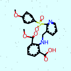 COC(=O)c1cccc(C(=O)O)c1NCc1cccnc1S(=O)(=O)c1ccc(OC)cc1